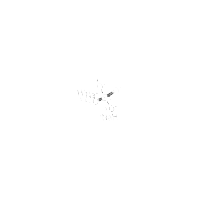 O=S(=O)([O-])[O-].[H+].[Na+].[NaH]